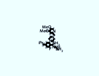 COc1cnc(CN2CCN(c3cc(CC(C)C)cc(F)c3/C(N)=N/NN)CC2)cc1OC